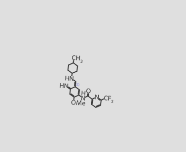 COC1=CC(=N)/C(=C\NC2CCC(C)CC2)C=C1NC(=O)c1cccc(C(F)(F)F)n1